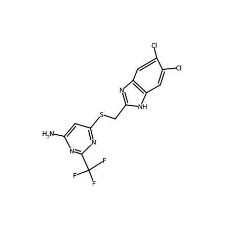 Nc1cc(SCc2nc3cc(Cl)c(Cl)cc3[nH]2)nc(C(F)(F)F)n1